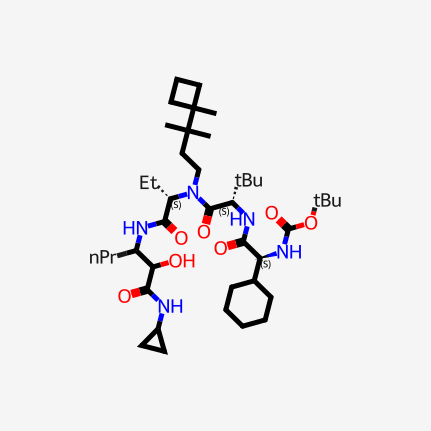 CCCC(NC(=O)[C@H](CC)N(CCC(C)(C)C1(C)CCC1)C(=O)[C@@H](NC(=O)[C@@H](NC(=O)OC(C)(C)C)C1CCCCC1)C(C)(C)C)C(O)C(=O)NC1CC1